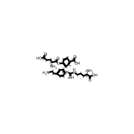 N=C(N)NCCC[C@H](N)C(=O)O.NCCc1ccccc1.N[C@H](CCC(=O)O)C(=O)Oc1ccc(C(=O)O)cc1